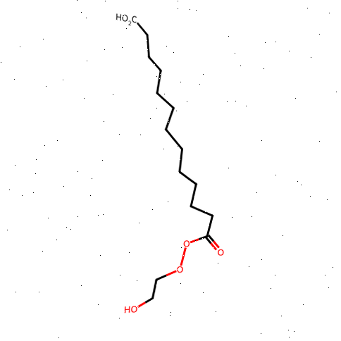 O=C(O)CCCCCCCCCCCC(=O)OOCCO